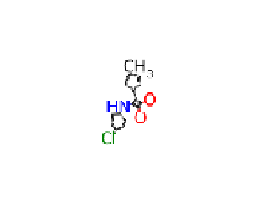 Cc1ccc(-c2c(Nc3ccc(Cl)cc3)c(=O)c2=O)cc1